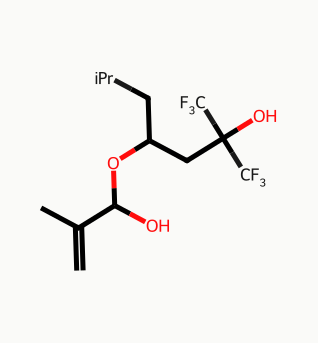 C=C(C)C(O)OC(CC(C)C)CC(O)(C(F)(F)F)C(F)(F)F